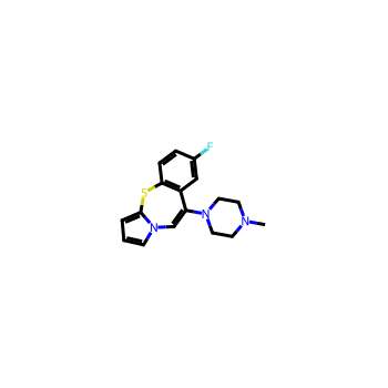 CN1CCN(C2=Cn3cccc3Sc3ccc(F)cc32)CC1